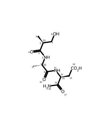 C[C@H](NC(=O)[C@@H](C)CO)C(=O)N[C@@H](CC(=O)O)C(N)=O